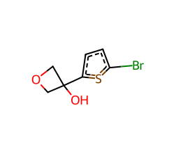 OC1(c2ccc(Br)s2)COC1